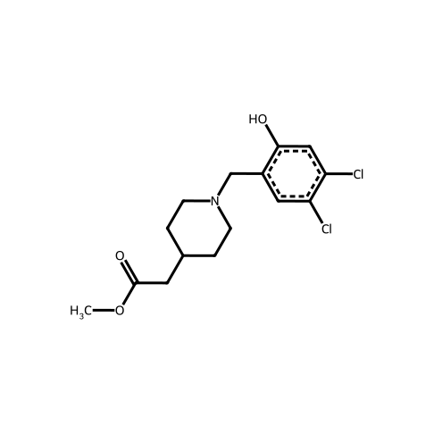 COC(=O)CC1CCN(Cc2cc(Cl)c(Cl)cc2O)CC1